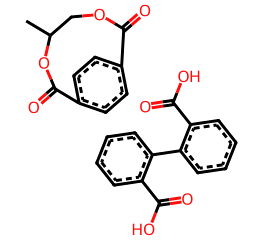 CC1COC(=O)c2ccc(cc2)C(=O)O1.O=C(O)c1ccccc1-c1ccccc1C(=O)O